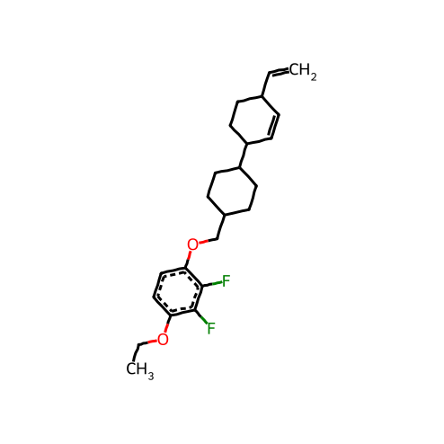 C=CC1C=CC(C2CCC(COc3ccc(OCC)c(F)c3F)CC2)CC1